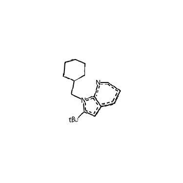 CC(C)(C)c1cc2cccnc2n1CC1CCCCC1